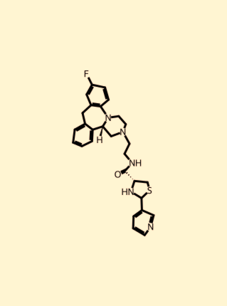 O=C(NCCN1CCN2c3ccc(F)cc3Cc3ccccc3[C@H]2C1)[C@@H]1CSC(c2cccnc2)N1